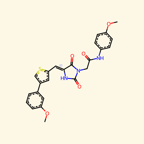 COc1ccc(NC(=O)CN2C(=O)N/C(=C\c3cc(-c4cccc(OC)c4)cs3)C2=O)cc1